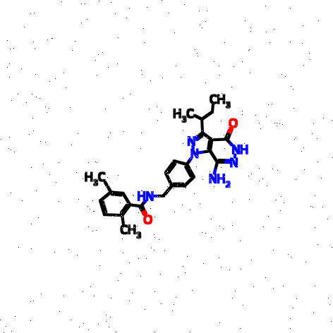 CCC(C)c1nn(-c2ccc(CNC(=O)c3cc(C)ccc3C)cc2)c2c(N)n[nH]c(=O)c12